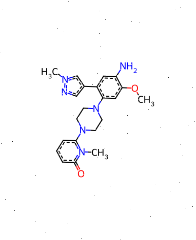 COc1cc(N2CCN(c3cccc(=O)n3C)CC2)c(-c2cnn(C)c2)cc1N